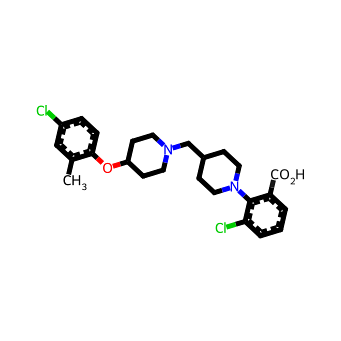 Cc1cc(Cl)ccc1OC1CCN(CC2CCN(c3c(Cl)cccc3C(=O)O)CC2)CC1